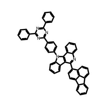 c1ccc(-c2nc(-c3ccccc3)nc(-c3ccc(-n4c5ccccc5c5c(-c6ccc7c8c(cccc68)-c6ccccc6-7)nc6ccccc6c54)cc3)n2)cc1